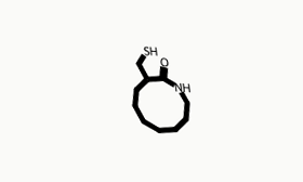 O=C1NCCCCCCCC1CS